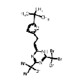 CC(C)(C)c1ccc(CC=C2N=C(C(Br)(Br)Br)N=C(C(Br)(Br)Br)N2)o1